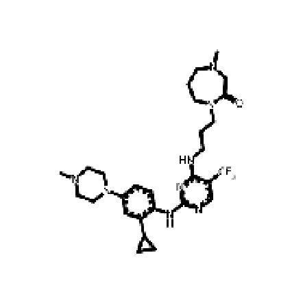 CN1CCN(c2ccc(Nc3ncc(C(F)(F)F)c(NCCCN4CCCN(C)CC4=O)n3)c(C3CC3)c2)CC1